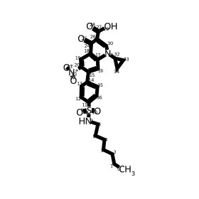 CCCCCCCNS(=O)(=O)c1ccc(-c2cc3c(cc2[N+](=O)[O-])c(=O)c(C(=O)O)cn3C2CC2)cc1